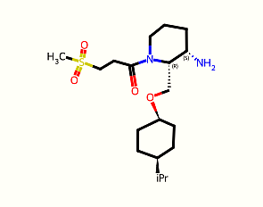 CC(C)[C@H]1CC[C@@H](OC[C@H]2[C@@H](N)CCCN2C(=O)CCS(C)(=O)=O)CC1